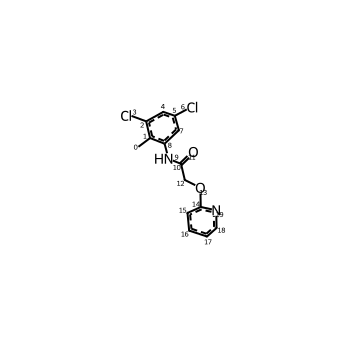 Cc1c(Cl)cc(Cl)cc1NC(=O)COc1ccccn1